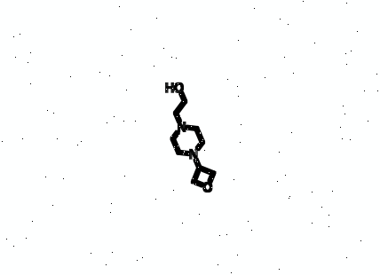 OCCN1CCN(C2COC2)CC1